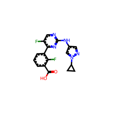 O=C(O)c1cccc(-c2nc(Nc3cnn(C4CC4)c3)ncc2F)c1F